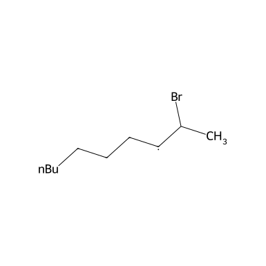 CCCCCCC[CH]C(C)Br